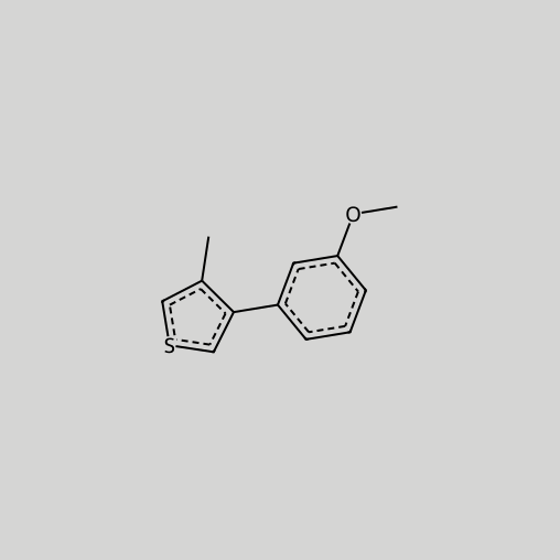 COc1cccc(-c2cscc2C)c1